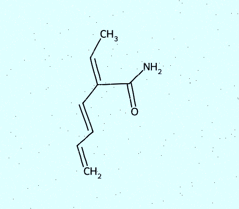 C=CC=CC(=CC)C(N)=O